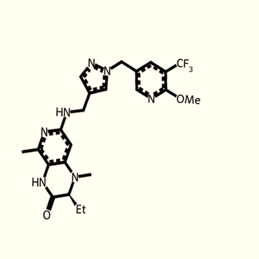 CC[C@H]1C(=O)Nc2c(cc(NCc3cnn(Cc4cnc(OC)c(C(F)(F)F)c4)c3)nc2C)N1C